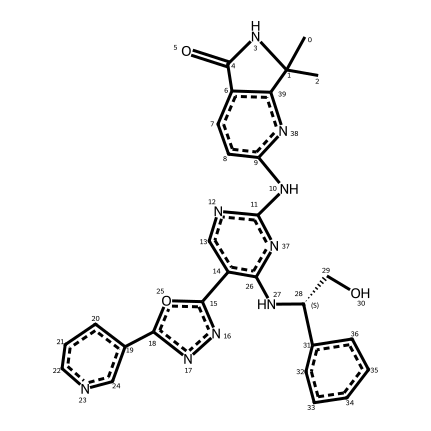 CC1(C)NC(=O)c2ccc(Nc3ncc(-c4nnc(-c5cccnc5)o4)c(N[C@H](CO)c4ccccc4)n3)nc21